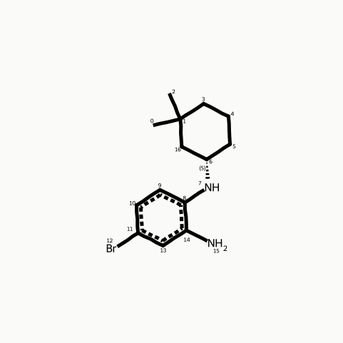 CC1(C)CCC[C@H](Nc2ccc(Br)cc2N)C1